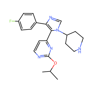 CC(C)Oc1nccc(-c2c(-c3ccc(F)cc3)ncn2C2CCNCC2)n1